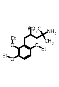 CCOc1ccc(OCC)c(OCC)c1CC(CC)CC(C)(N)C(=O)O